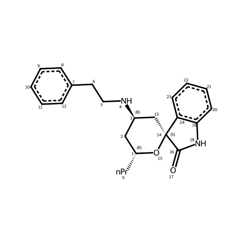 CCC[C@@H]1C[C@@H](NCCc2ccccc2)C[C@@]2(O1)C(=O)Nc1ccccc12